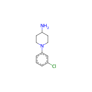 NC1CCN(c2cccc(Cl)c2)CC1